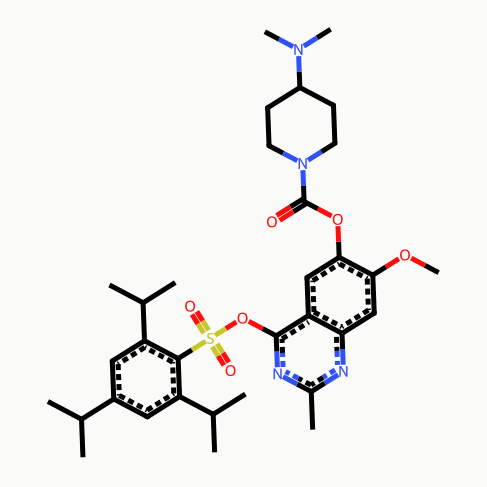 COc1cc2nc(C)nc(OS(=O)(=O)c3c(C(C)C)cc(C(C)C)cc3C(C)C)c2cc1OC(=O)N1CCC(N(C)C)CC1